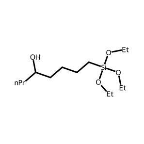 CCCC(O)CCCC[Si](OCC)(OCC)OCC